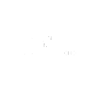 O=Cc1cnn(-c2ccccc2)c1